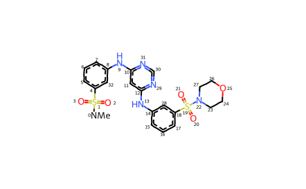 CNS(=O)(=O)c1cccc(Nc2cc(Nc3cccc(S(=O)(=O)N4CCOCC4)c3)ncn2)c1